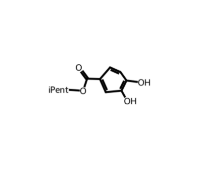 CCCC(C)OC(=O)c1ccc(O)c(O)c1